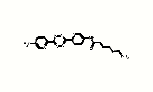 NCCCCCC(=O)Nc1ccc(-c2nnc(-c3ccc(C(F)(F)F)cn3)nn2)nc1